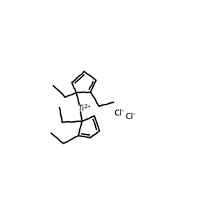 CCC1=CC=C[C]1(CC)[Ti+2][C]1(CC)C=CC=C1CC.[Cl-].[Cl-]